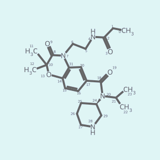 CCC(=O)NCCN1C(=O)C(C)(C)Oc2ccc(C(=O)N(C(C)C)[C@@H]3CCCNC3)cc21